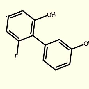 Oc1cccc(-c2c(O)c[c]cc2F)c1